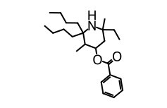 CCCCC1(CCCC)NC(C)(CC)CC(OC(=O)c2ccccc2)C1C